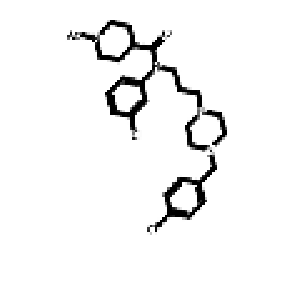 CC(=O)N1CCC(C(=O)N(CCCN2CCN(Cc3ccc(Cl)cc3)CC2)c2cccc(Cl)c2)CC1